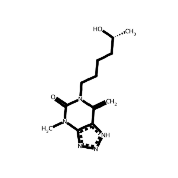 C=C1c2[nH]nnc2N(C)C(=O)N1CCCC[C@@H](C)O